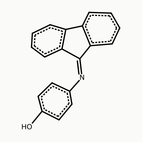 Oc1ccc(N=C2c3ccccc3-c3ccccc32)cc1